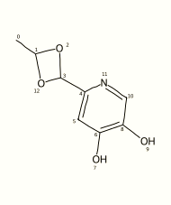 CC1OC(c2cc(O)c(O)cn2)O1